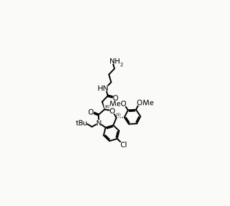 COc1cccc([C@H]2O[C@H](CC(=O)NCCCN)C(=O)N(CC(C)(C)C)c3ccc(Cl)cc32)c1OC